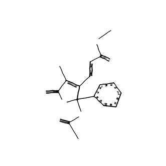 COC(=O)/C=C/C1=C(C)C(=O)OC1(OC(C)=O)c1ccccc1